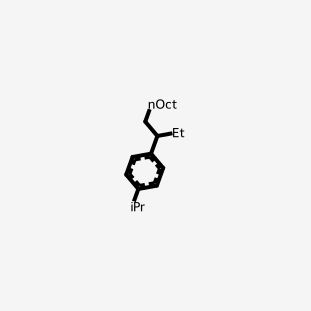 CCCCCCCCCC(CC)c1ccc(C(C)C)cc1